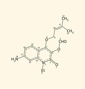 CCn1c(=O)c(OC=O)c(OCC=C(C)C)c2ccc(N)cc21